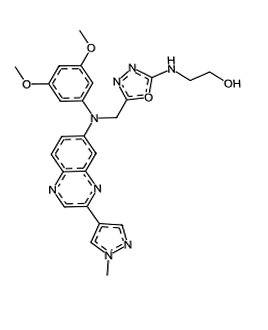 COc1cc(OC)cc(N(Cc2nnc(NCCO)o2)c2ccc3ncc(-c4cnn(C)c4)nc3c2)c1